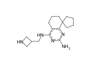 Nc1nc(NCC2CNC2)c2c(n1)C1(CCCC1)CCC2